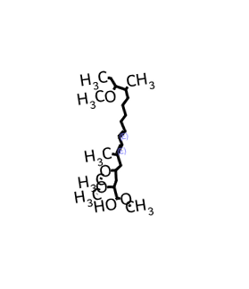 CCC(OC)C(C)CCCC/C=C/C=C(\C)CC(CC(OC)C(O)OC)OC